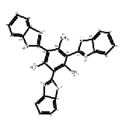 Cc1c(-c2nc3ccccc3s2)c(C)c(-c2nc3ccccc3s2)c(C)c1-c1nc2ccccc2s1